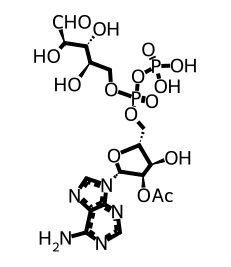 CC(=O)O[C@@H]1[C@H](O)[C@@H](COP(=O)(OC[C@@H](O)[C@@H](O)[C@@H](O)C=O)OP(=O)(O)O)O[C@H]1n1cnc2c(N)ncnc21